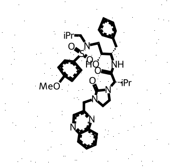 COc1ccc(S(=O)(=O)N(CC(C)C)C[C@@H](O)[C@H](Cc2ccccc2)NC(=O)[C@H](C(C)C)N2CCN(Cc3cnc4ccccc4n3)C2=O)cc1